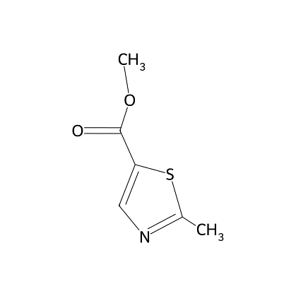 COC(=O)c1cnc(C)s1